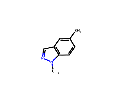 Bc1ccc2c(cnn2C)c1